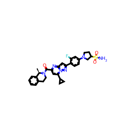 C[C@@H]1c2ccccc2CCN1C(=O)c1cc(C2CC2)n2nc(-c3ccc(N4CCC(S(N)(=O)=O)C4)cc3F)cc2n1